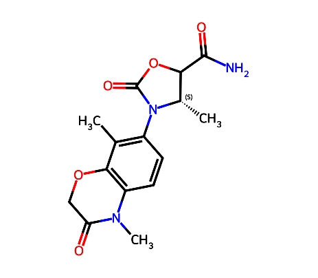 Cc1c(N2C(=O)OC(C(N)=O)[C@@H]2C)ccc2c1OCC(=O)N2C